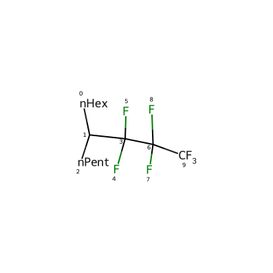 CCCCCCC(CCCCC)C(F)(F)C(F)(F)C(F)(F)F